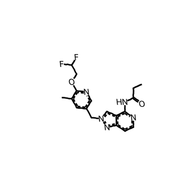 CCC(=O)Nc1nccc2nn(Cc3cnc(OCC(F)F)c(C)c3)cc12